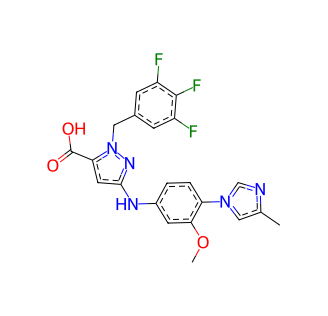 COc1cc(Nc2cc(C(=O)O)n(Cc3cc(F)c(F)c(F)c3)n2)ccc1-n1cnc(C)c1